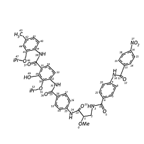 COC(CNC(=O)c1ccc(NC(=O)c2ccc([N+](=O)[O-])cc2)cc1)C(=O)Nc1ccc(C(=O)Nc2ccc(C(=O)Nc3ccc(C)cc3OC(C)C)c(O)c2OC(C)C)cc1